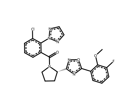 COc1c(F)cccc1-c1nc([C@@H]2CCCN2C(=O)c2cccc(Cl)c2-n2nccn2)no1